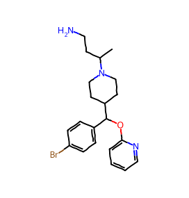 CC(CCN)N1CCC(C(Oc2ccccn2)c2ccc(Br)cc2)CC1